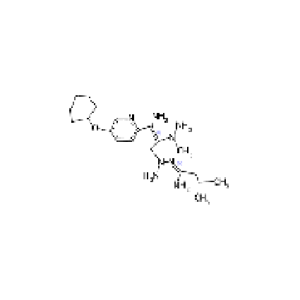 CC(C)C/C(N)=N/N(N)C/C(=C(/N)c1ccc(OC2CCCCC2)cn1)N(C)N